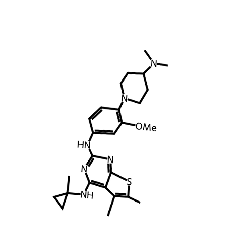 COc1cc(Nc2nc(NC3(C)CC3)c3c(C)c(C)sc3n2)ccc1N1CCC(N(C)C)CC1